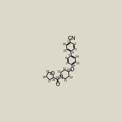 N#Cc1ccc(-c2ccc(OC3CCN(C(=O)C4CCCO4)CC3)cc2)cc1